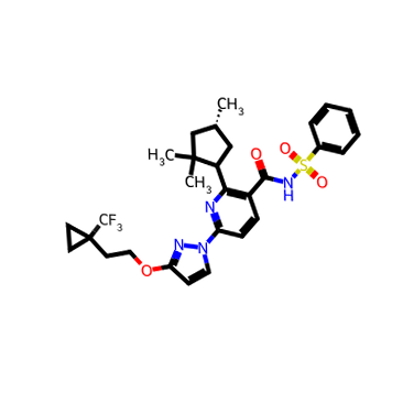 C[C@@H]1CC(c2nc(-n3ccc(OCCC4(C(F)(F)F)CC4)n3)ccc2C(=O)NS(=O)(=O)c2ccccc2)C(C)(C)C1